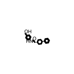 O=C(C[C@H]1CC[C@H](c2ccccc2)CC1)Nc1ccc(CO)cc1